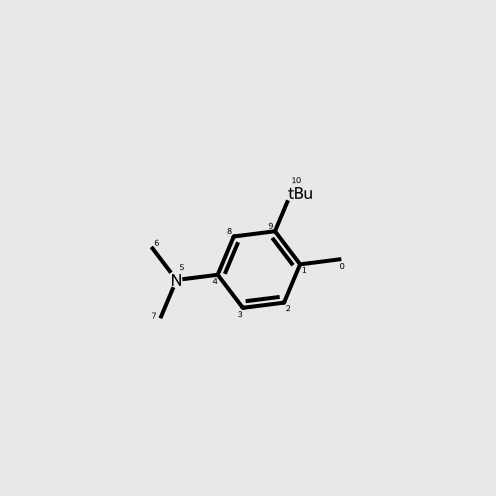 Cc1ccc(N(C)C)cc1C(C)(C)C